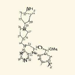 COC(=O)c1cc(F)ccc1N1CCN(CC2CCN(C3CCC(N)CC3)CC2)c2ncncc21